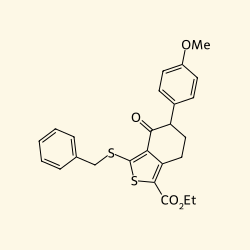 CCOC(=O)c1sc(SCc2ccccc2)c2c1CCC(c1ccc(OC)cc1)C2=O